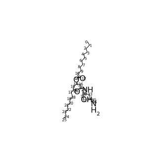 CCCCCCCCCCCC(=O)OC(CCCCCCCCCCC)CC(=O)N[C@@H](CO)CCCN